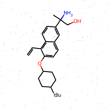 C=Cc1c(OC2CCC(C(C)(C)C)CC2)ccc2cc(C(C)(N)CO)ccc12